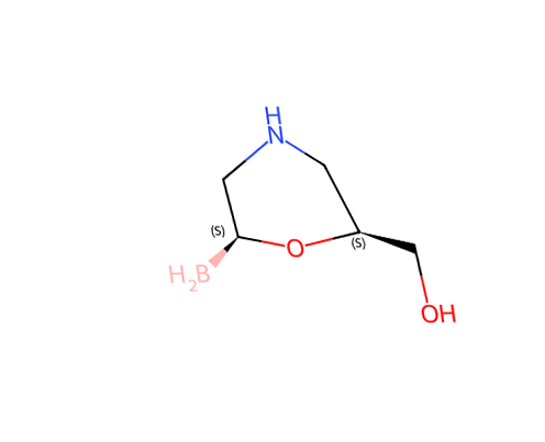 B[C@H]1CNC[C@@H](CO)O1